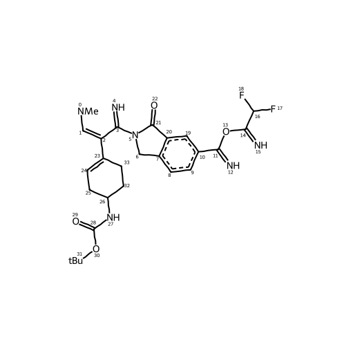 CN/C=C(\C(=N)N1Cc2ccc(C(=N)OC(=N)C(F)F)cc2C1=O)C1=CCC(NC(=O)OC(C)(C)C)CC1